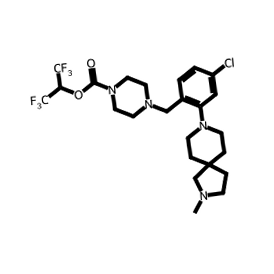 CN1CCC2(CCN(c3cc(Cl)ccc3CN3CCN(C(=O)OC(C(F)(F)F)C(F)(F)F)CC3)CC2)C1